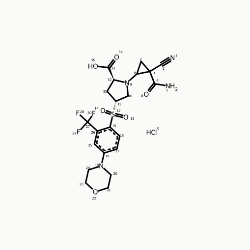 Cl.N#CC1(C(N)=O)CC1N1C[C@H](S(=O)(=O)c2ccc(N3CCOCC3)cc2C(F)(F)F)C[C@H]1C(=O)O